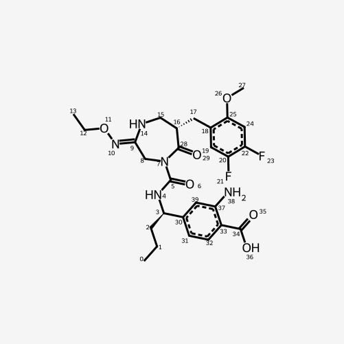 CCC[C@@H](NC(=O)N1C/C(=N/OCC)NC[C@H](Cc2cc(F)c(F)cc2OC)C1=O)c1ccc(C(=O)O)c(N)c1